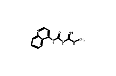 CNC(=N)NC(=O)Nc1ccnc2ccccc12